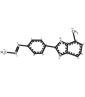 C/N=N/c1ccc(-c2nc3cccc(C)c3s2)cc1